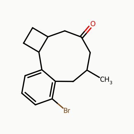 CC1CC(=O)CC2CCC2c2cccc(Br)c2C1